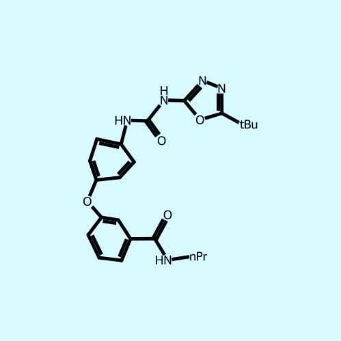 CCCNC(=O)c1cccc(Oc2ccc(NC(=O)Nc3nnc(C(C)(C)C)o3)cc2)c1